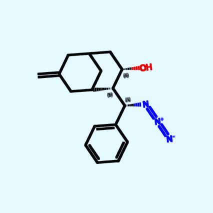 C=C1CC2CC(C1)[C@@H]([C@H](N=[N+]=[N-])c1ccccc1)[C@@H](O)C2